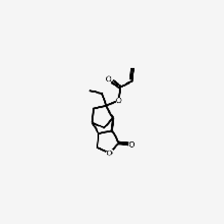 C=CC(=O)OC1(CC)CC2CC1C1C(=O)OCC21